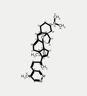 C=C(/C=C\c1cnncc1C)C1=CC[C@@H]2[C@]1(C)CC=C1C=C3CC[C@H](N(C)C)C[C@]34CC[C@@]12O4